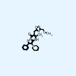 COCc1noc(Cc2c(C)[nH]c3c(N4CCCCC4)c(-c4ccccc4)nn3c2=O)n1